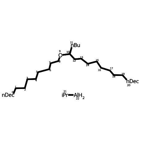 CCCCCCCCCCCCCCCCCCOC(CCCC)CCCCCCCCCCCCCCCCCC.C[CH](C)[AlH2]